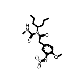 CCCC(CCC)N(C(=O)Cc1ccc(OC)c(N=S(=O)=O)c1)C(=S)NC